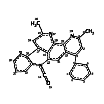 Cc1cc(-c2ccccc2)c2cc(N=C=O)c3c(-c4ccccc4)cc(C)nc3c2n1